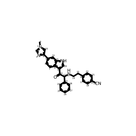 Cn1cnc(-c2ccc3c(C(=O)C(NCCc4ccc(C#N)cc4)c4ccccc4)c[nH]c3c2)c1